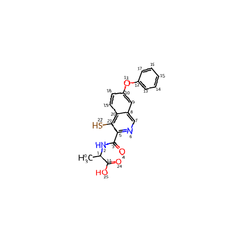 CC(NC(=O)c1ncc2cc(Oc3ccccc3)ccc2c1S)C(=O)O